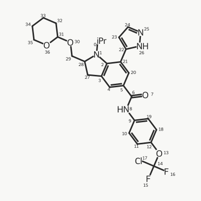 CC(C)N1c2c(cc(C(=O)Nc3ccc(OC(F)(F)Cl)cc3)cc2-c2ccn[nH]2)CC1COC1CCCCO1